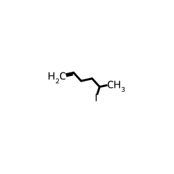 C=CCCC(C)I